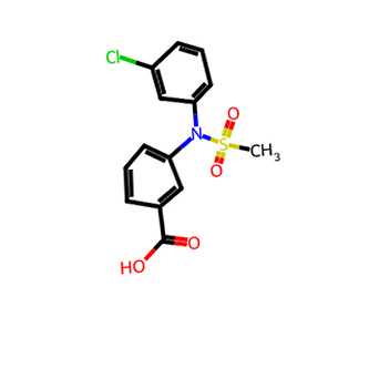 CS(=O)(=O)N(c1cccc(Cl)c1)c1cccc(C(=O)O)c1